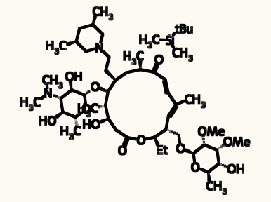 CC[C@H]1OC(=O)C[C@@H](O)[C@H](C)[C@@H](O[C@@H]2O[C@H](C)[C@@H](O)[C@H](N(C)C)[C@H]2O)[C@@H](CCN2C[C@H](C)C[C@H](C)C2)C[C@@H](C)C(=O)/C=C/C(C)=C/[C@@H]1CO[C@@H]1O[C@H](C)[C@@H](O)[C@@H](OC)[C@H]1OC.C[Si](C)C(C)(C)C